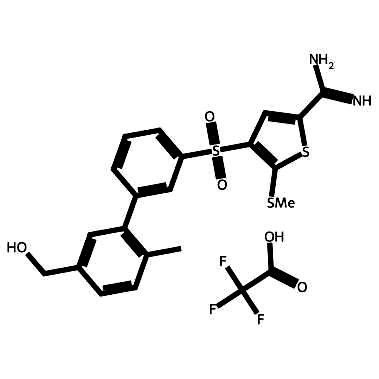 CSc1sc(C(=N)N)cc1S(=O)(=O)c1cccc(-c2cc(CO)ccc2C)c1.O=C(O)C(F)(F)F